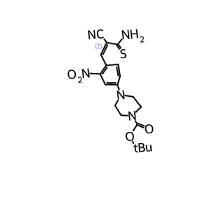 CC(C)(C)OC(=O)N1CCN(c2ccc(/C=C(/C#N)C(N)=S)c([N+](=O)[O-])c2)CC1